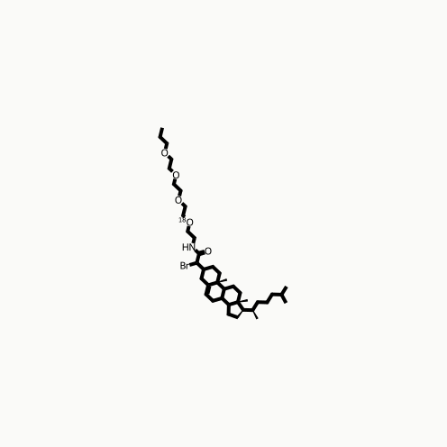 CCCOCCOCCOCC[18O]CCNC(=O)C(Br)C1CC[C@@]2(C)C(=CCC3C2CC[C@@]2(C)C3CC[C@@H]2[C@H](C)CCCC(C)C)C1